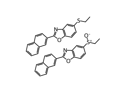 CCSc1ccc2oc(-c3ccc4ccccc4c3)nc2c1.CC[S+]([O-])c1ccc2oc(-c3ccc4ccccc4c3)nc2c1